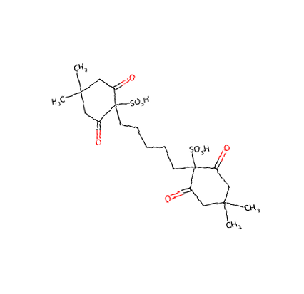 CC1(C)CC(=O)C(CCCCCC2(S(=O)(=O)O)C(=O)CC(C)(C)CC2=O)(S(=O)(=O)O)C(=O)C1